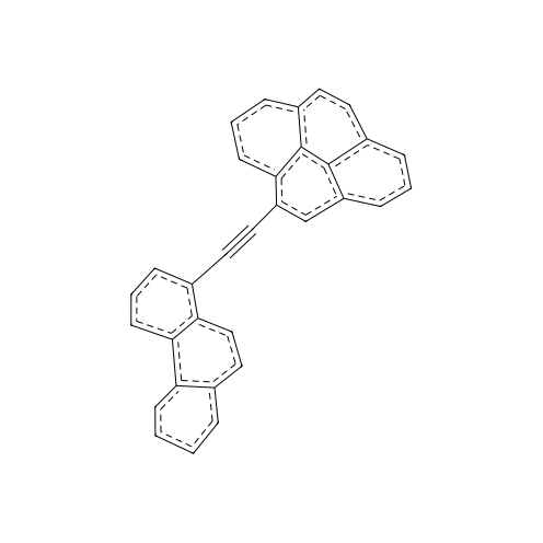 C(#Cc1cc2cccc3ccc4cccc1c4c32)c1cccc2c1ccc1ccccc12